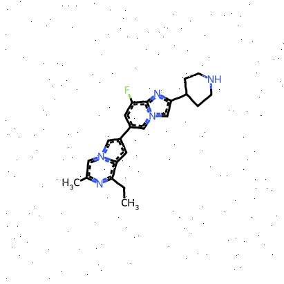 CCc1nc(C)cn2cc(-c3cc(F)c4nc(C5CCNCC5)cn4c3)cc12